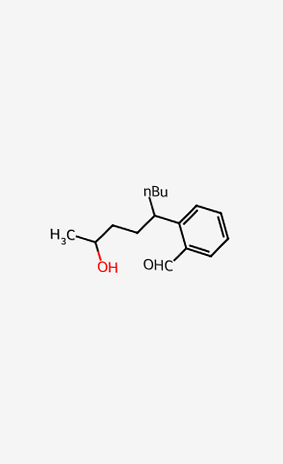 CCCCC(CCC(C)O)c1ccccc1C=O